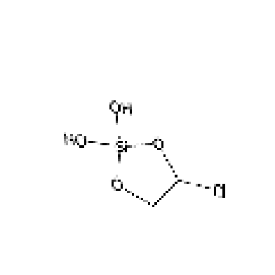 O[Si]1(O)OCC(Cl)O1